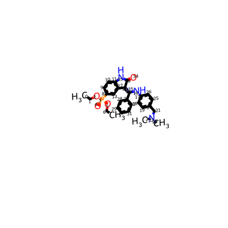 CCOP(=O)(OCC)c1ccc2c(c1)/C(=C(/Nc1ccc(CN(C)C)cc1)c1ccccc1)C(=O)N2